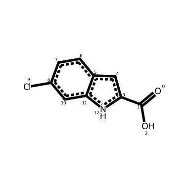 O=C(O)c1cc2ccc(Cl)cc2[nH]1